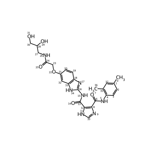 Cc1ccc(NC(=O)c2nc[nH]c2C(=O)Nc2nc3ccc(OCC(=O)NCC(O)CO)cc3[nH]2)c(C)c1